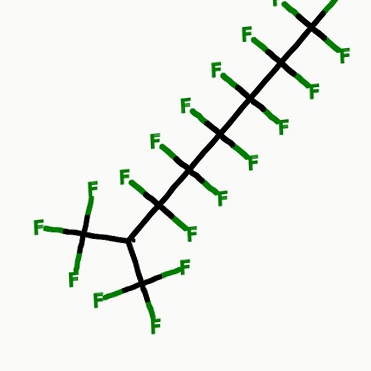 FC(F)(F)[C](C(F)(F)F)C(F)(F)C(F)(F)C(F)(F)C(F)(F)C(F)(F)C(F)(F)F